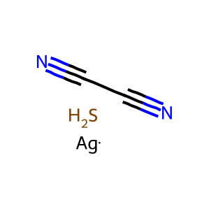 N#CC#N.S.[Ag]